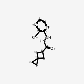 O=C(NNc1nccnc1Cl)C1CC2(CC2)C1